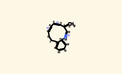 C=C1/C=C\C=C/CCc2ccccc2/N=C\1